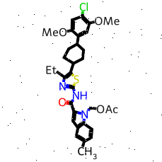 CCc1nc(NC(=O)c2cc3cc(C)ccc3n2COC(C)=O)sc1C1CCC(c2cc(OC)c(Cl)cc2OC)CC1